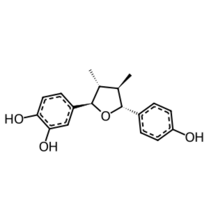 C[C@@H]1[C@@H](C)[C@H](c2ccc(O)c(O)c2)O[C@H]1c1ccc(O)cc1